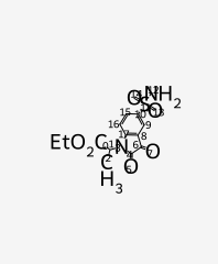 CCOC(=O)C(C)N1C(=O)C(=O)c2cc(S(N)(=O)=O)ccc21